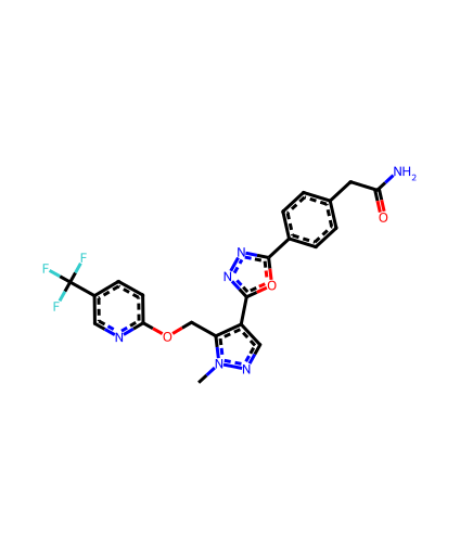 Cn1ncc(-c2nnc(-c3ccc(CC(N)=O)cc3)o2)c1COc1ccc(C(F)(F)F)cn1